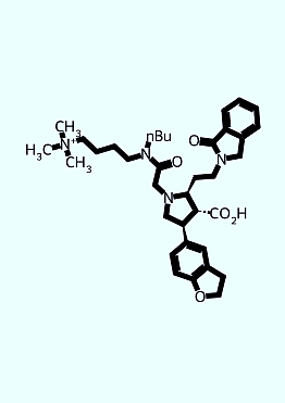 CCCCN(CCCC[N+](C)(C)C)C(=O)CN1C[C@H](c2ccc3c(c2)CCO3)[C@@H](C(=O)O)[C@@H]1CCN1Cc2ccccc2C1=O